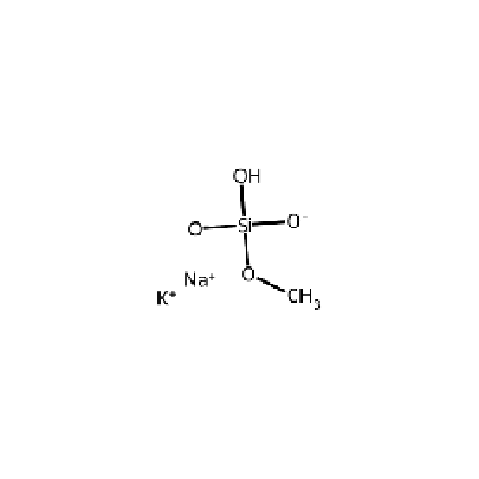 CO[Si]([O-])([O-])O.[K+].[Na+]